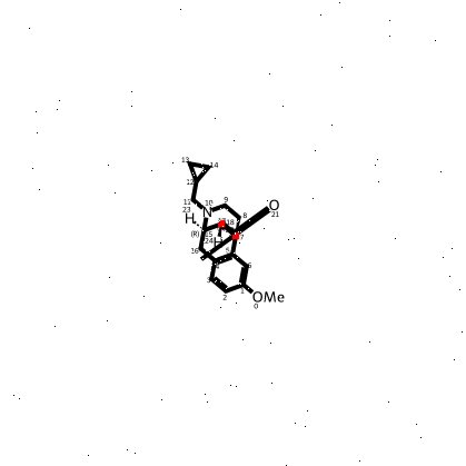 COc1ccc2c(c1)[C@]13CCN(CC4CC4)[C@H](C2)[C@@H]1C=CC(=O)C3